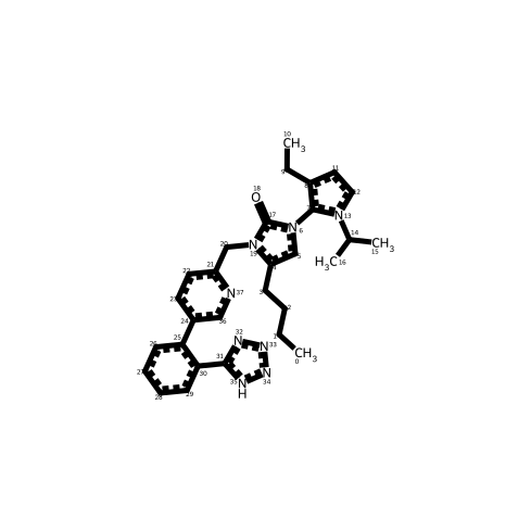 CCCCc1cn(-c2c(CC)ccn2C(C)C)c(=O)n1Cc1ccc(-c2ccccc2-c2nnn[nH]2)cn1